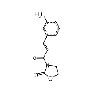 Cc1cccc(/C=C/C(=O)N2CCOC2=O)c1